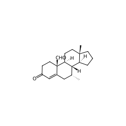 C[C@@H]1CC2=CC(=O)CC[C@]2(C=O)[C@H]2CC[C@]3(C)CCC[C@H]3[C@H]12